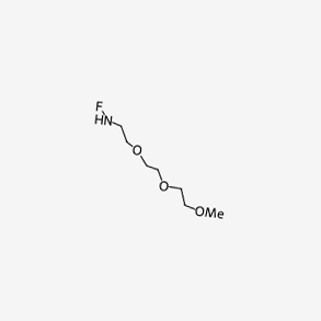 COCCOCCOCCNF